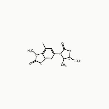 CC1[C@H](C(=O)O)OC(=O)N1c1cc(F)c2c(c1)oc(=O)n2C